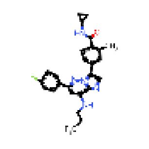 Cc1cc(-c2cnc3c(NCCC(F)(F)F)cc(-c4ccc(F)cc4)nn23)ccc1C(=O)NC1CC1